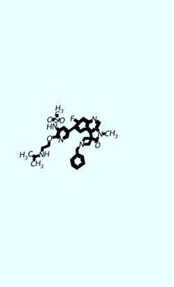 CC(C)NCCOc1ncc(-c2cc3c4c(cnc3cc2F)N(C)C(=O)C42CN(Cc3ccccc3)C2)cc1NS(C)(=O)=O